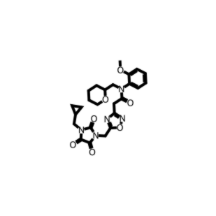 COc1ccccc1N(CC1CCCCO1)C(=O)Cc1noc(CN2C(=O)C(=O)N(CC3CC3)C2=O)n1